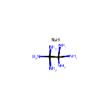 NC(N)(N)C(N)(N)N.[NaH]